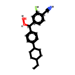 CCC1CCC(c2ccc(C(OO)c3ccc(C#N)c(F)c3)cc2)CC1